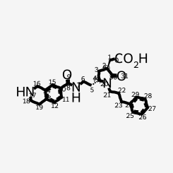 O=C(O)C[C@@H]1C[C@@H](CCNC(=O)c2ccc3c(c2)CNCC3)N(CCCc2ccccc2)C1=O